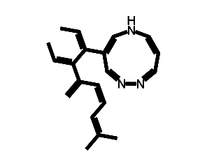 C=C(/C=C\C=C(C)C)C(=C/C)/C(=C\C)c1cnnccc[nH]c1